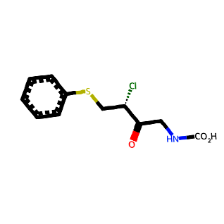 O=C(O)NCC(=O)[C@@H](Cl)CSc1ccccc1